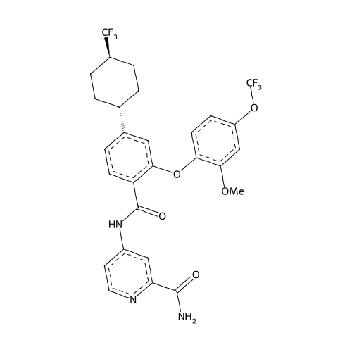 COc1cc(OC(F)(F)F)ccc1Oc1cc([C@H]2CC[C@H](C(F)(F)F)CC2)ccc1C(=O)Nc1ccnc(C(N)=O)c1